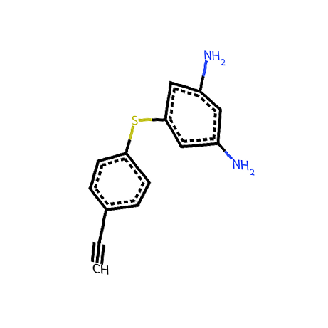 C#Cc1ccc(Sc2cc(N)cc(N)c2)cc1